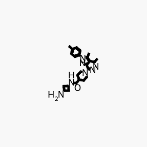 Cc1ccc(-n2nc3c(N4CCC(C(=O)NC5CC(N)C5)CC4)nnc(C)c3c2C)cc1